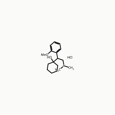 COc1ccccc1C(CN(C)C)C1(O)CCCCC1.Cl